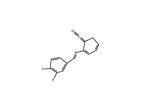 O=C=C1CC=CC=C1N=Cc1ccc(F)c(F)c1